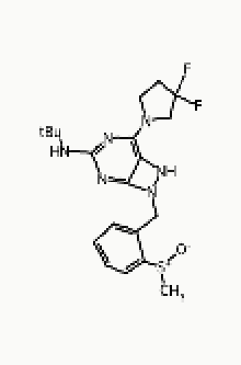 C[S+]([O-])c1ccccc1Cn1[nH]c2c(N3CCC(F)(F)C3)nc(NC(C)(C)C)nc21